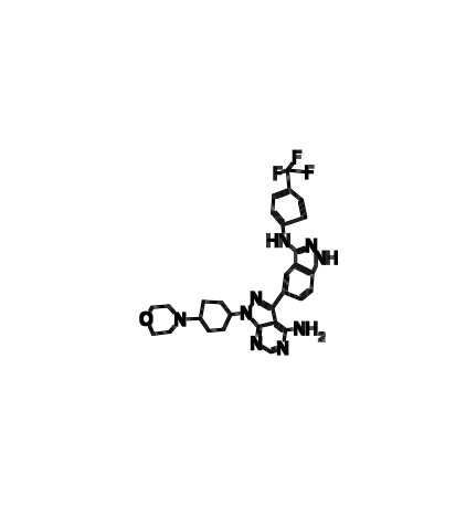 Nc1ncnc2c1c(-c1ccc3[nH]nc(Nc4ccc(C(F)(F)F)cc4)c3c1)nn2C1CCC(N2CCOCC2)CC1